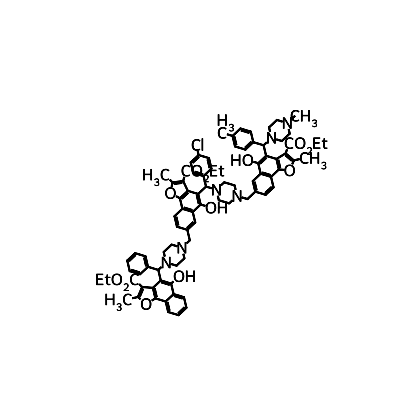 CCOC(=O)c1c(C)oc2c1c(C(c1ccc(C)cc1)N1CCN(C)CC1)c(O)c1cc(CN3CCN(C(c4ccc(Cl)cc4)c4c(O)c5cc(CN6CCN(C(c7ccccc7)c7c(O)c8ccccc8c8oc(C)c(C(=O)OCC)c78)CC6)ccc5c5oc(C)c(C(=O)OCC)c45)CC3)ccc12